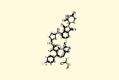 COC(=O)C[C@@H]1N=C(c2ccc(Cl)cc2)c2c(sc(NC3CCC(Nc4cccc5c4C(=O)N(C4CCC(=O)NC4=O)C5=O)C3)c2C)-n2c(C)nnc21